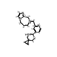 c1cc(C2NCC3(CC3)CO2)cc(CN2CCCn3ccnc3C2)n1